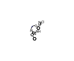 CN1C/C=C\COc2cc(ccc2-n2cnc(Cl)c2)Nc2nc3c(c1n2)CCC3c1ccccc1